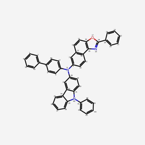 c1ccc(-c2ccc(N(c3ccc4c(ccc5oc(-c6ccccc6)nc54)c3)c3ccc4c(c3)c3ccccc3n4-c3ccccc3)cc2)cc1